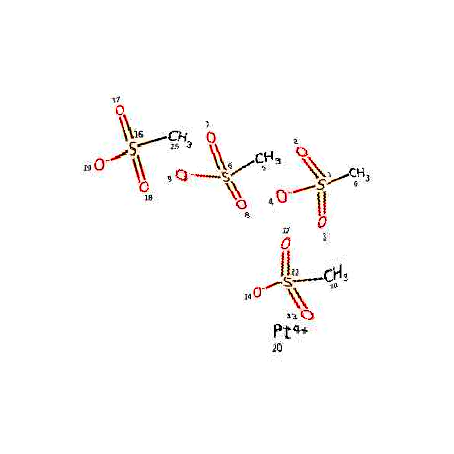 CS(=O)(=O)[O-].CS(=O)(=O)[O-].CS(=O)(=O)[O-].CS(=O)(=O)[O-].[Pt+4]